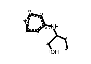 CCC(CO)Nc1ccncc1